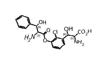 N[C@H](C(=O)Oc1cccc([C@@H](O)[C@H](N)C(=O)O)c1Cl)[C@H](O)c1ccccc1